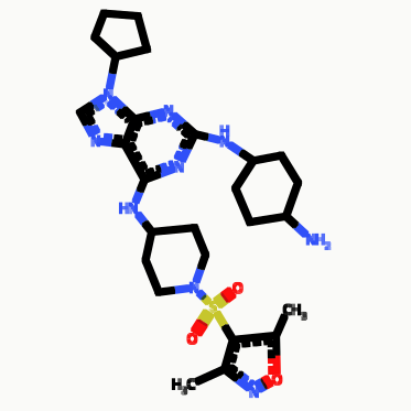 Cc1noc(C)c1S(=O)(=O)N1CCC(Nc2nc(NC3CCC(N)CC3)nc3c2ncn3C2CCCC2)CC1